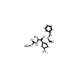 CC(C)[C@H](NC(=O)OC(C)(C)C)C(=O)C1C[C@H](C(F)(F)F)C[C@H]1C(=O)OCc1ccccc1